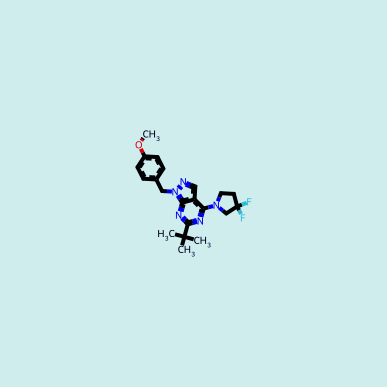 COc1ccc(Cn2ncc3c(N4CCC(F)(F)C4)nc(C(C)(C)C)nc32)cc1